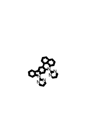 c1cnc(N2c3cc4c(cc3-c3cccc5cccc2c35)c2ccccc2n4-c2ncccn2)nc1